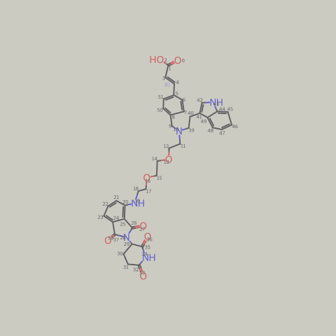 O=C(O)/C=C/c1ccc(CN(CCOCCOCCNc2cccc3c2C(=O)N(C2CCC(=O)NC2=O)C3=O)CCc2c[nH]c3ccccc23)cc1